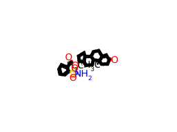 C[C@]12CCC(=O)C=C1CCC1C2CC[C@@]2(C)C1CC[C@@H]2OC(=O)c1ccccc1S(N)(=O)=O